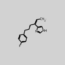 [CH2]C=C(CCCc1ccc(F)cc1)c1c[nH]cn1